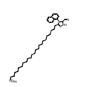 CCCCCCCCCCCCCCCCCCCCCCCCCCCCCCCCCC1=NNC(C=S)N1c1cccc2ccccc12